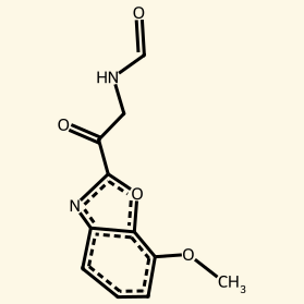 COc1cccc2nc(C(=O)CNC=O)oc12